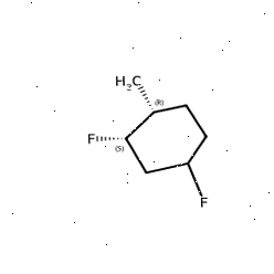 C[C@@H]1CCC(F)C[C@@H]1F